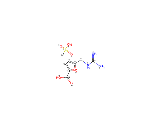 CS(=O)(=O)O.N=C(N)NCc1ccc(C(=O)O)o1